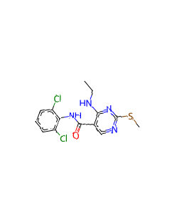 CCNc1nc(SC)ncc1C(=O)Nc1c(Cl)cccc1Cl